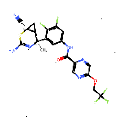 C[C@]1(c2cc(NC(=O)c3cnc(OCC(F)(F)F)cn3)cc(F)c2F)N=C(N)S[C@@]2(C#N)CC21